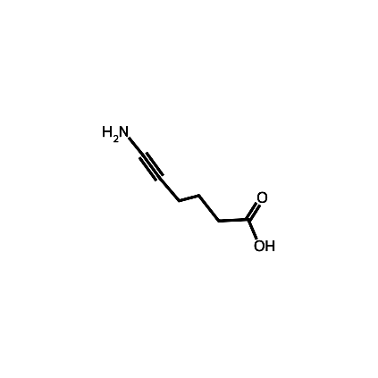 NC#CCCCC(=O)O